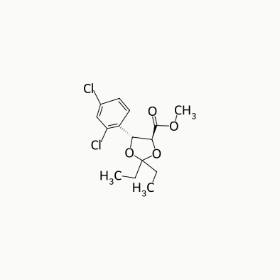 CCC1(CC)O[C@H](C(=O)OC)[C@@H](c2ccc(Cl)cc2Cl)O1